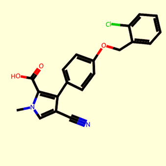 Cn1cc(C#N)c(-c2ccc(OCc3ccccc3Cl)cc2)c1C(=O)O